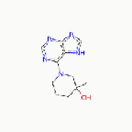 CC1(O)CCCN(c2ncnc3nc[nH]c23)C1